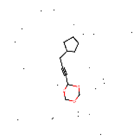 C(#CC1OCOCO1)CC1CCCC1